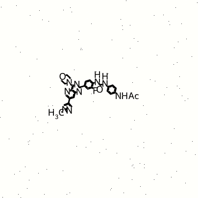 CC(=O)Nc1ccc(NC(=O)Nc2ccc(-c3nc(N4CCOCC4)c4ncc(-c5cnn(C)c5)cc4n3)cc2F)cc1